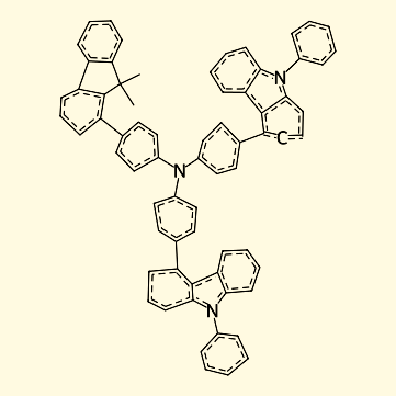 CC1(C)c2ccccc2-c2cccc(-c3ccc(N(c4ccc(-c5cccc6c5c5ccccc5n6-c5ccccc5)cc4)c4ccc(-c5cccc6c5c5ccccc5n6-c5ccccc5)cc4)cc3)c21